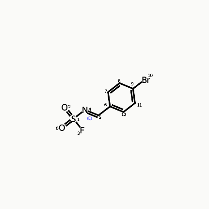 O=S(=O)(F)/N=C/c1ccc(Br)cc1